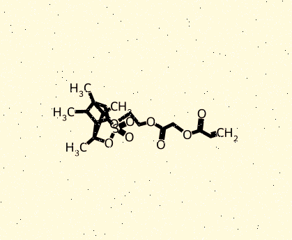 C=CC(=O)OCC(=O)OCCOC1(C)C2(C)CC3C(C2C)C1(C)OS3(=O)=O